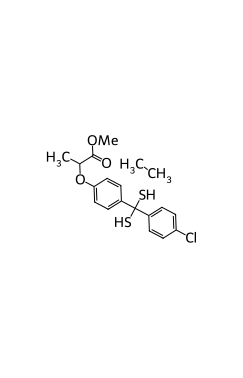 CC.COC(=O)C(C)Oc1ccc(C(S)(S)c2ccc(Cl)cc2)cc1